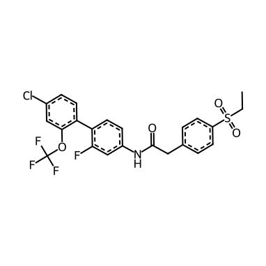 CCS(=O)(=O)c1ccc(CC(=O)Nc2ccc(-c3ccc(Cl)cc3OC(F)(F)F)c(F)c2)cc1